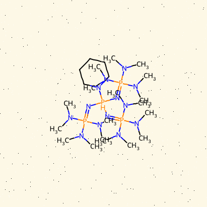 CN(C)P(=N[PH](N=P(N(C)C)(N(C)C)N(C)C)(N=P(N(C)C)(N(C)C)N(C)C)N1CCCCC1)(N(C)C)N(C)C